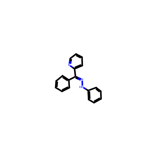 c1ccc(N/N=C(\c2ccccc2)c2ccccn2)cc1